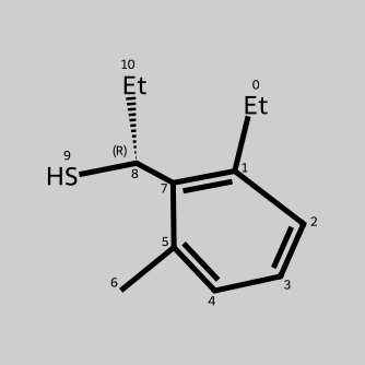 CCc1cccc(C)c1[C@H](S)CC